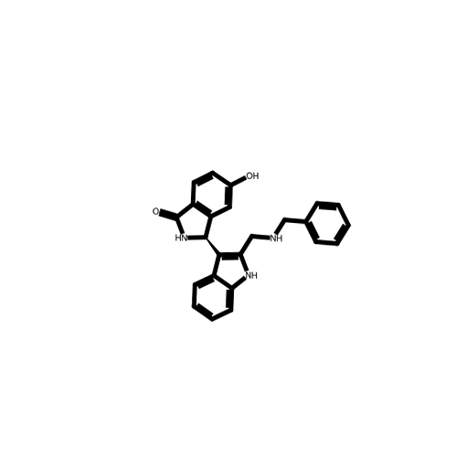 O=C1N[C@H](c2c(CNCc3ccccc3)[nH]c3ccccc23)c2cc(O)ccc21